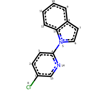 Clc1ccc(-n2ccc3ccccc32)nc1